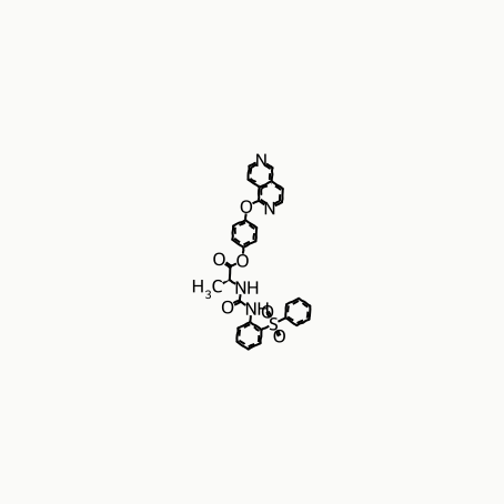 C[C@H](NC(=O)Nc1ccccc1S(=O)(=O)c1ccccc1)C(=O)Oc1ccc(Oc2nccc3cnccc23)cc1